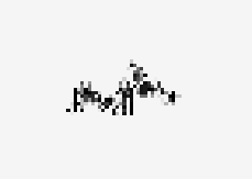 CC(C)(C)c1cc(NC(=O)N[C@H]2CC[C@@H](Oc3ccc4nnc(N5CCCCC5)n4c3)c3ccccc32)n(-c2ccc(CO)cc2)n1